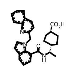 CC(NC(=O)c1cccc2ccn(Cc3ccc4ccccc4n3)c12)[C@H]1CC[C@H](C(=O)O)CC1